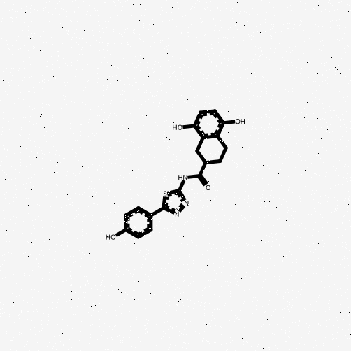 O=C(Nc1nnc(-c2ccc(O)cc2)s1)C1CCc2c(O)ccc(O)c2C1